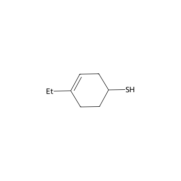 CCC1=CCC(S)CC1